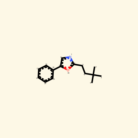 CC(C)(C)CCc1ncc(-c2ccccc2)o1